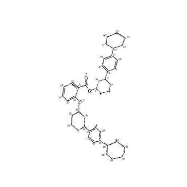 O=C(OC1CCCC(c2ccc(C3CCCCC3)cc2)C1)c1ccccc1OC1CCCC(c2ccc(C3CCCCC3)cc2)C1